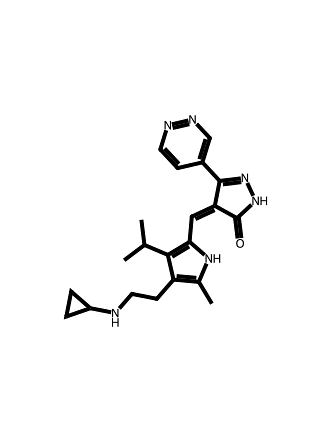 Cc1[nH]c(C=C2C(=O)NN=C2c2ccnnc2)c(C(C)C)c1CCNC1CC1